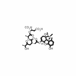 Cc1ccc(O)c2c1[C@]13CCN(C)[C@H](C)[C@]1(O)CC=C(OC(=O)C[C@H](CC(=O)[C@H](C)O)C(=O)O[C@@H](C)C(=O)O[C@@H](CC(=O)O)C(=O)O)[C@@H]3O2